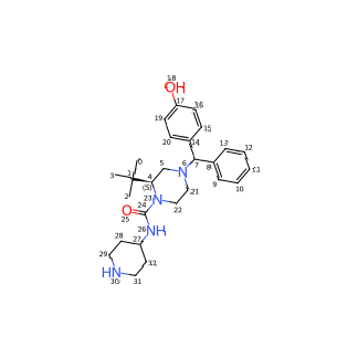 CC(C)(C)[C@H]1CN(C(c2ccccc2)c2ccc(O)cc2)CCN1C(=O)NC1CCNCC1